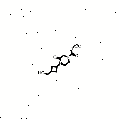 CC(C)(C)OC(=O)N1CCN(C2CC(CO)C2)C(=O)C1